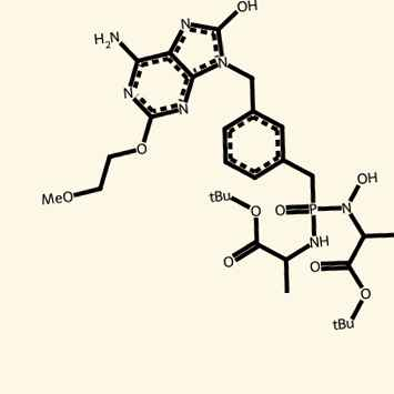 COCCOc1nc(N)c2nc(O)n(Cc3cccc(CP(=O)(NC(C)C(=O)OC(C)(C)C)N(O)C(C)C(=O)OC(C)(C)C)c3)c2n1